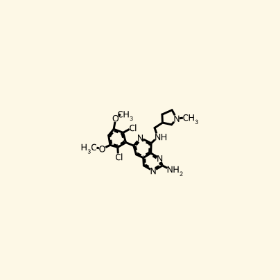 COc1cc(OC)c(Cl)c(-c2cc3cnc(N)nc3c(NCC3CCN(C)C3)n2)c1Cl